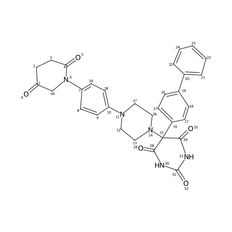 O=C1CCC(=O)N(c2ccc(N3CCN(C4(c5ccc(-c6ccccc6)cc5)C(=O)NC(=O)NC4=O)CC3)cc2)C1